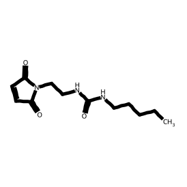 CCCCCNC(=O)NCCN1C(=O)C=CC1=O